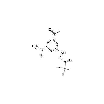 CC(=O)c1cc(NCC(=O)C(C)(C)F)cc(C(N)=O)c1